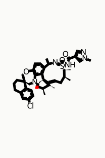 CC[C@@]12/C=C/C[C@H](C)[C@@H](C)S(=O)(NC(=O)c3cnn(C)c3)=NC(C)c3ccc4c(c31)N(C[C@H](C)[C@H]2C)C[C@@]1(CCCc2cc(Cl)ccc21)CO4